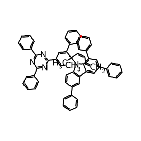 C=C/C=C\C(C)(/C(=C\C(=C/C)c1nc(-c2ccccc2)nc(-c2ccccc2)n1)c1ccccc1)n1c2ccc(-c3ccccc3)cc2c2cc(-c3ccccc3)cc(-c3ccccc3)c21